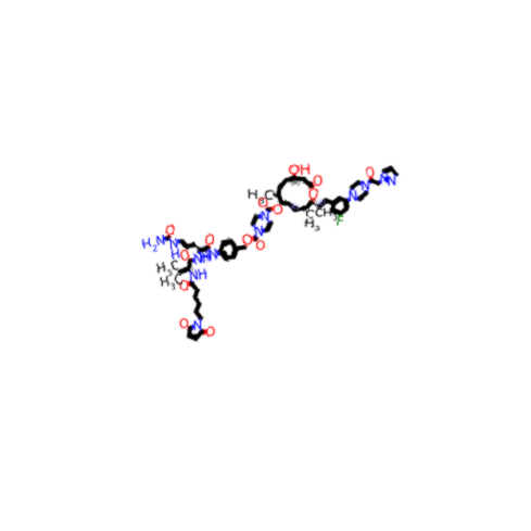 C/C(=C\c1cc(F)cc(N2CCN(C(=O)Cn3cccn3)CC2)c1)[C@H]1OC(=O)C[C@H](O)CC[C@H](C)[C@@H](OC(=O)N2CCN(C(=O)OCc3ccc(NC(=O)[C@H](CCCNC(N)=O)NC(=O)[C@@H](NC(=O)CCCCCN4C(=O)C=CC4=O)C(C)C)cc3)CC2)/C=C/[C@@H]1C